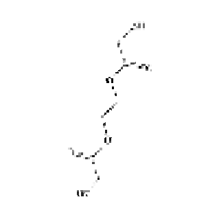 O=C(CS)OCCOC(=O)CS